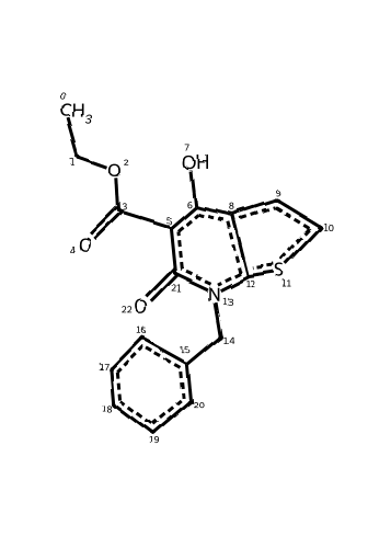 CCOC(=O)c1c(O)c2ccsc2n(Cc2ccccc2)c1=O